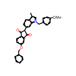 COc1ccc(Cn2cc(C)c3ccc(C4C(=O)c5ccc(OCc6ccccc6)cc5C4=O)cc32)cc1